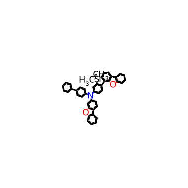 C[Si]1(C)c2cc(N(c3ccc(-c4ccccc4)cc3)c3ccc4c(c3)oc3ccccc34)ccc2-c2c1ccc1c2oc2ccccc21